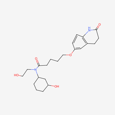 O=C1CCc2cc(OCCCCC(=O)N(CCO)C3CCCC(O)C3)ccc2N1